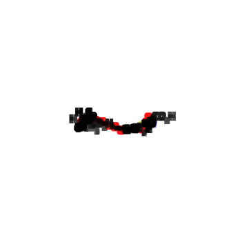 C=C1/C=C\C=C(\CC(=O)O)C(=O)c2ccc([S+]([O-])CC3=CCCC(c4ccc(OCCOCCOCCOCCOc5ccc(C)c6c5C(C(=O)O)=CC(c5oc7ccccc7c5C)C(=C)C6)cc4)CC3)cc21